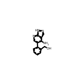 Nc1c(-c2ccccc2CO)cnc2[nH]ncc12